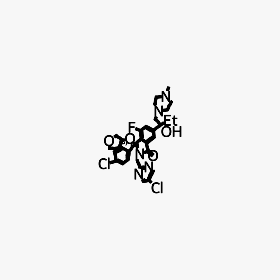 CCC(O)(CN1CCN(C)CC1)c1cc(F)c2c(c1)C(=O)N(Cc1ncc(Cl)cn1)[C@@]2(O[C@H]1CCOC1)c1ccc(Cl)cc1